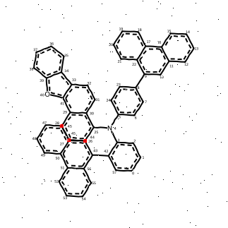 c1ccc(N(c2ccc(-c3cc4ccccc4c4ccccc34)cc2)c2cccc3c2ccc2c4ccccc4oc32)c(-c2cc3ccccc3c3ccccc23)c1